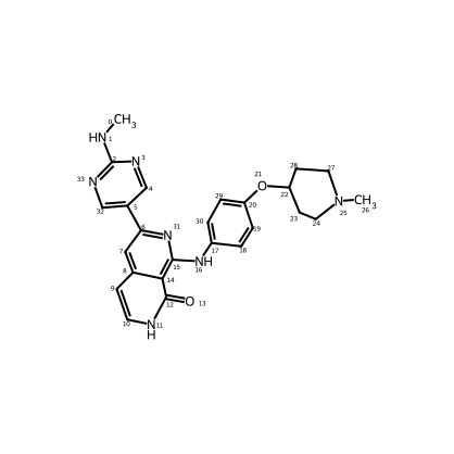 CNc1ncc(-c2cc3cc[nH]c(=O)c3c(Nc3ccc(OC4CCN(C)CC4)cc3)n2)cn1